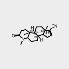 CN1C(=O)CC[C@@]2(C)C1CC[C@@H]1[C@H]2CC[C@]2(C)C(C#N)=CC[C@@H]12